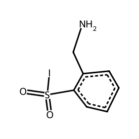 NCc1ccccc1S(=O)(=O)I